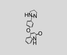 O=c1cc(Oc2ccc(C3=NCCCN3)cc2)c2ccccc2[nH]1